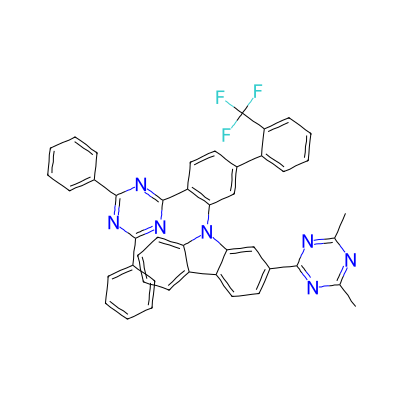 Cc1nc(C)nc(-c2ccc3c4ccccc4n(-c4cc(-c5ccccc5C(F)(F)F)ccc4-c4nc(-c5ccccc5)nc(-c5ccccc5)n4)c3c2)n1